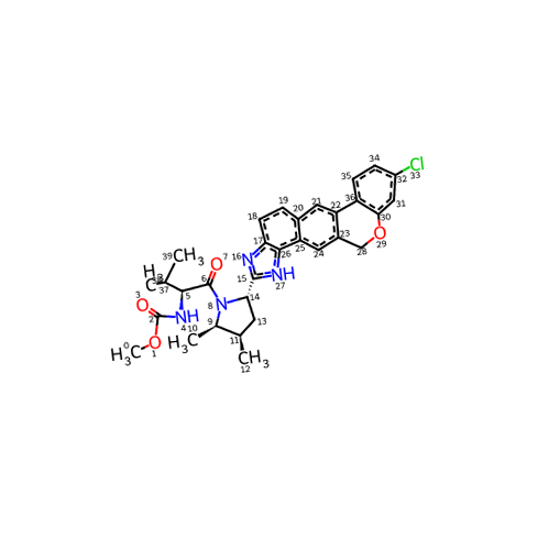 COC(=O)N[C@H](C(=O)N1[C@H](C)[C@H](C)C[C@H]1c1nc2ccc3cc4c(cc3c2[nH]1)COc1cc(Cl)ccc1-4)C(C)C